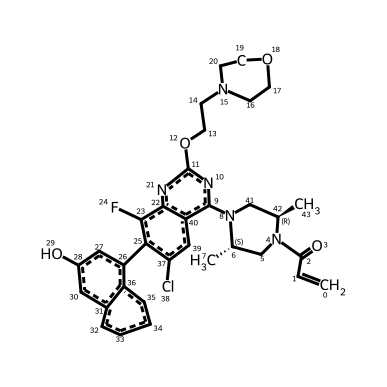 C=CC(=O)N1C[C@H](C)N(c2nc(OCCN3CCOCC3)nc3c(F)c(-c4cc(O)cc5ccccc45)c(Cl)cc23)C[C@H]1C